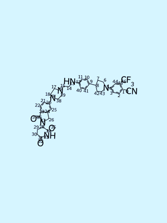 N#Cc1ccc(N2CCC(c3ccc(NCCN4CCN(c5ccc6c(c5)CN(C5CCC(=O)NC5=O)C6=O)CC4)cc3)CC2)cc1C(F)(F)F